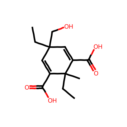 CCC1(CO)C=C(C(=O)O)C(C)(CC)C(C(=O)O)=C1